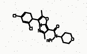 CCCN(C(=O)c1c(C)nn2c(C3CC=C(Cl)C=C3Cl)c(C)oc12)C1CCOCC1